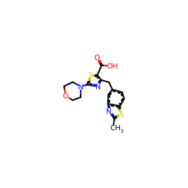 Cc1nc2cc(Cc3nc(N4CCOCC4)sc3C(=O)O)ccc2s1